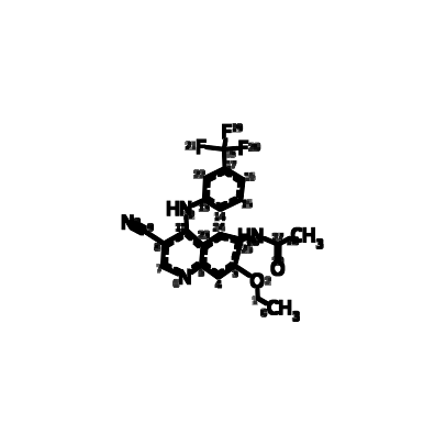 CCOc1cc2ncc(C#N)c(Nc3cccc(C(F)(F)F)c3)c2cc1NC(C)=O